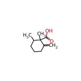 C=C1CCCC(C)C1(C)C(=O)O